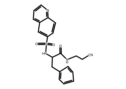 N#CCCNC(=O)C(Cc1ccccc1)NS(=O)(=O)c1ccc2ncccc2c1